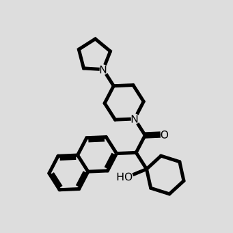 O=C(C(c1ccc2ccccc2c1)C1(O)CCCCC1)N1CCC(N2CCCC2)CC1